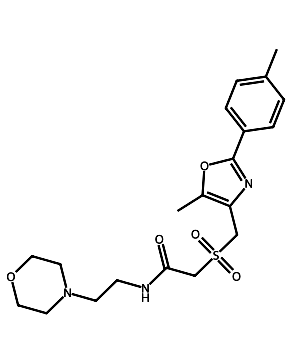 Cc1ccc(-c2nc(CS(=O)(=O)CC(=O)NCCN3CCOCC3)c(C)o2)cc1